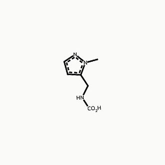 Cn1nccc1CNC(=O)O